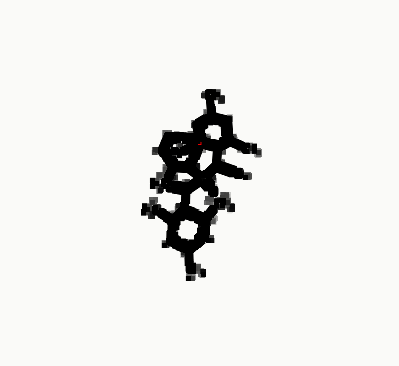 CCCc1cc(C)cc(C)c1C(=O)P(=O)(C(=O)c1c(C)cc(C)cc1C)c1ccccc1C